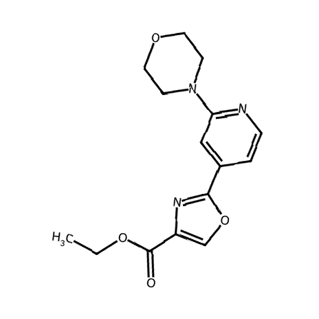 CCOC(=O)c1coc(-c2ccnc(N3CCOCC3)c2)n1